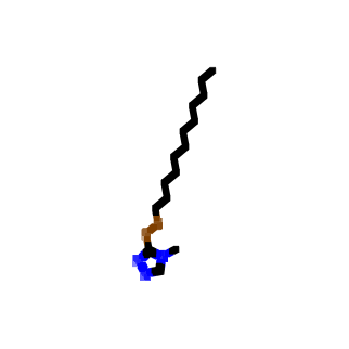 CCCCCCCCCCCCSSc1nncn1C